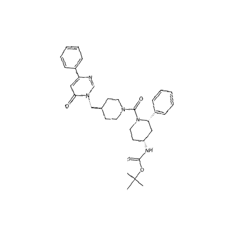 CC(C)(C)OC(=O)N[C@@H]1CCN(C(=O)N2CCC(Cn3cnc(-c4ccccc4)cc3=O)CC2)[C@H](c2ccccc2)C1